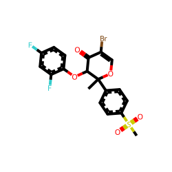 CC1(c2ccc(S(C)(=O)=O)cc2)OC=C(Br)C(=O)C1Oc1ccc(F)cc1F